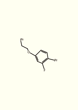 CC(C)CCOc1ccc(C(C)C)c(F)c1